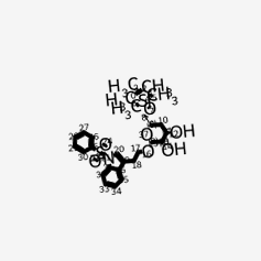 CC(C)(C)[Si](C)(C)OC[C@@H]1C[C@H](O)[C@@H](O)[C@H](OCCc2cn(S(=O)(=O)c3ccccc3)c3ccccc23)O1